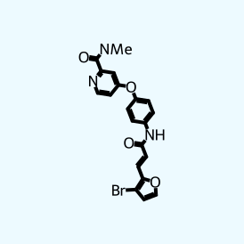 CNC(=O)c1cc(Oc2ccc(NC(=O)C=Cc3occc3Br)cc2)ccn1